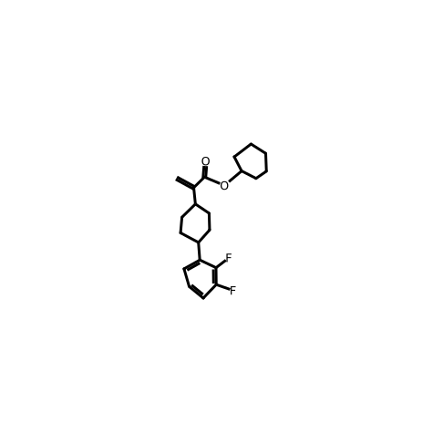 C=C(C(=O)OC1CCCCC1)C1CCC(c2cccc(F)c2F)CC1